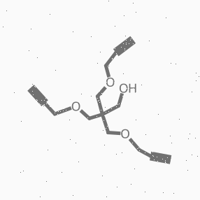 C#CCOCC(CO)(COCC#C)COCC#C